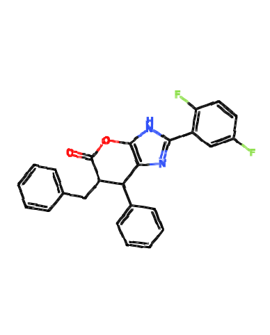 O=C1Oc2[nH]c(-c3cc(F)ccc3F)nc2C(c2ccccc2)C1Cc1ccccc1